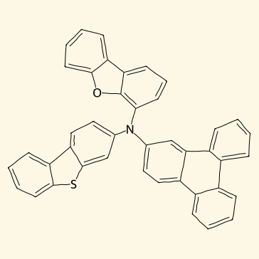 c1ccc2c(c1)oc1c(N(c3ccc4c(c3)sc3ccccc34)c3ccc4c5ccccc5c5ccccc5c4c3)cccc12